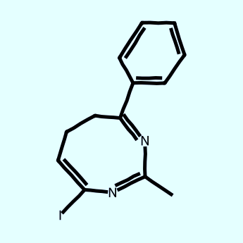 CC1=N/C(I)=C\CC/C(c2ccccc2)=N\1